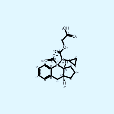 O=C(O)COC(=O)N(C1CC1)[N+]1(C(=O)O)c2ccccc2C[C@H]2CCC[C@H]21